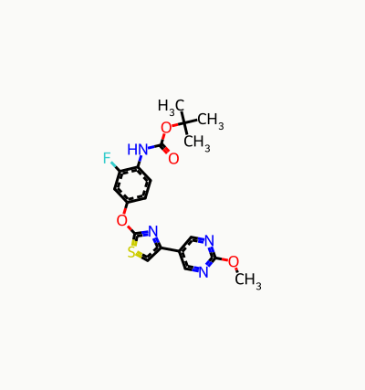 COc1ncc(-c2csc(Oc3ccc(NC(=O)OC(C)(C)C)c(F)c3)n2)cn1